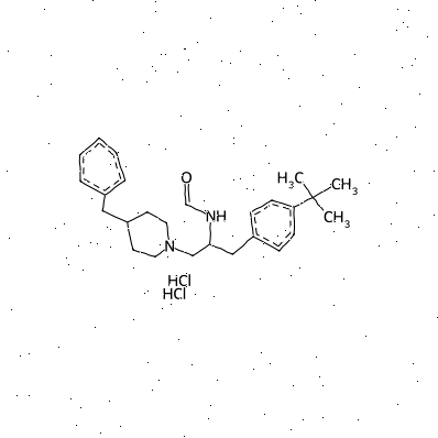 CC(C)(C)c1ccc(CC(CN2CCC(Cc3ccccc3)CC2)NC=O)cc1.Cl.Cl